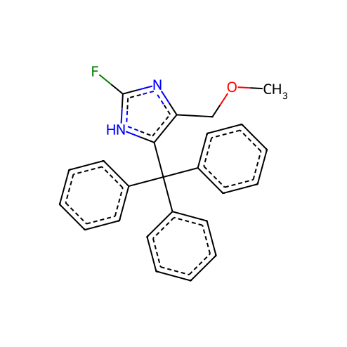 COCc1nc(F)[nH]c1C(c1ccccc1)(c1ccccc1)c1ccccc1